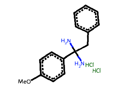 COc1ccc(C(N)(N)Cc2ccccc2)cc1.Cl.Cl